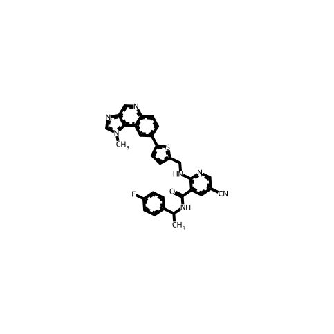 CC(NC(=O)c1cc(C#N)cnc1NCc1ccc(-c2ccc3ncc4ncn(C)c4c3c2)s1)c1ccc(F)cc1